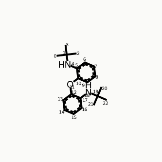 CC(C)(C)Nc1ccccc1Oc1ccccc1NC(C)(C)C